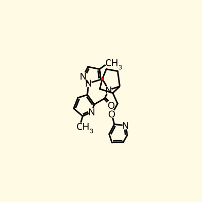 Cc1cnn(-c2ccc(C)nc2C(=O)N2C3CCC2C(COc2ccccn2)C3)c1